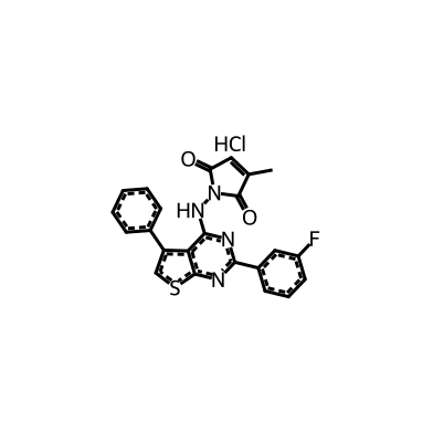 CC1=CC(=O)N(Nc2nc(-c3cccc(F)c3)nc3scc(-c4ccccc4)c23)C1=O.Cl